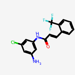 Nc1cc(Cl)cc(NC(=O)C=Cc2ccccc2C(F)(F)F)c1